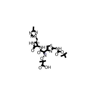 Cc1nnn(C[C@@H]2NC(=O)C2NC(=O)/C(=N\OC(C)(C)C(=O)O)c2csc(NC(=O)OC(C)(C)C)n2)n1